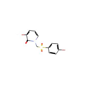 O=c1c(O)cccn1CS(=O)(=O)c1ccc(Br)cc1